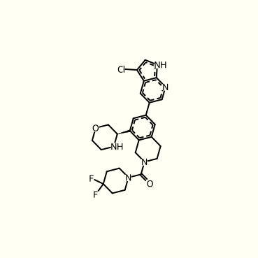 O=C(N1CCC(F)(F)CC1)N1CCc2cc(-c3cnc4[nH]cc(Cl)c4c3)cc([C@@H]3COCCN3)c2C1